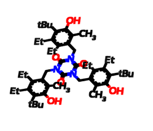 CCc1c(Cn2c(=O)n(Cc3c(C)c(O)c(C(C)(C)C)c(CC)c3CC)c(=O)n(Cc3c(C)c(O)c(C(C)(C)C)c(CC)c3CC)c2=O)c(C)c(O)c(C(C)(C)C)c1CC